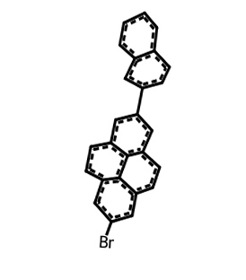 Brc1cc2ccc3cc(-c4ccc5ccccc5c4)cc4ccc(c1)c2c34